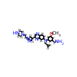 COc1cc(CN)cc(N(CC2CC2)c2ccc3ncc(-c4cnn(CCN5CCNCC5)c4)nc3c2)c1